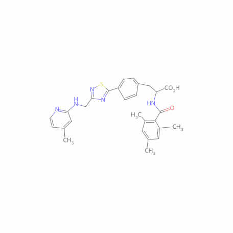 Cc1ccnc(NCc2nsc(-c3ccc(CC(NC(=O)c4c(C)cc(C)cc4C)C(=O)O)cc3)n2)c1